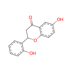 O=C1CC(c2ccccc2O)Oc2ccc(O)cc21